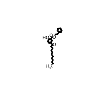 CCCCCCCCCCCC(=O)c1ccc(O)c(C(=O)OCCc2ccccc2)c1